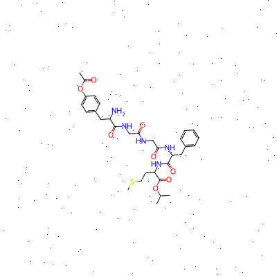 CSCCC(NC(=O)C(Cc1ccccc1)NC(=O)CNC(=O)CNC(=O)C(N)Cc1ccc(OC(C)=O)cc1)C(=O)OC(C)C